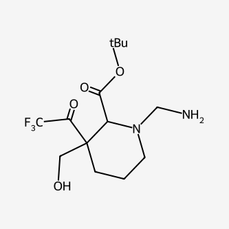 CC(C)(C)OC(=O)C1N(CN)CCCC1(CO)C(=O)C(F)(F)F